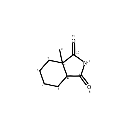 CC12CCCCC1C(=O)[N]C2=O